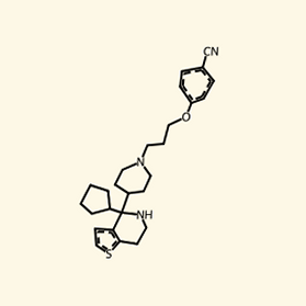 N#Cc1ccc(OCCCN2CCC(C3(C4CCCC4)NCCc4sccc43)CC2)cc1